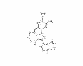 NC(=O)[C@@H](Nc1cc2c3c(c(-c4ccnc5[nH]cnc45)[nH]c3c1)NCCO2)C1CC1